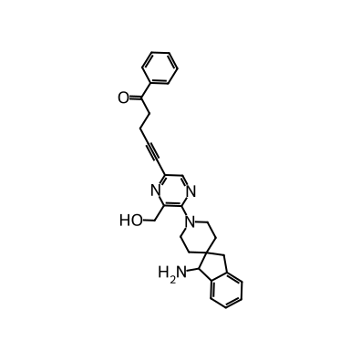 NC1c2ccccc2CC12CCN(c1ncc(C#CCCC(=O)c3ccccc3)nc1CO)CC2